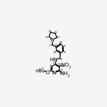 CCCCOc1cc(NCc2cccc(CN3CCCC3)c2)c([N+](=O)[O-])c(N)n1